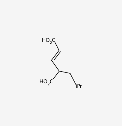 CC(C)CC(/C=C/C(=O)O)C(=O)O